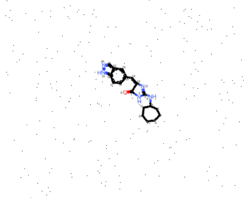 O=C1NC(NC2CCCCCC2)=NC1=Cc1ccc2[nH]ncc2c1